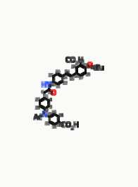 CC(=O)N(c1ccc(CC(=O)Nc2ccc(C=Cc3ccc(OC(C)(C)C)c(C(=O)O)c3)cc2)cc1)c1ccc(C(=O)O)cc1